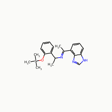 CC(=NC(C)c1ccccc1O[Si](C)(C)C)c1cccc2[nH]cnc12